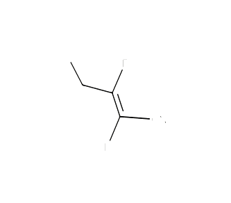 N#CC(F)=C(F)CF